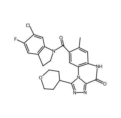 Cc1cc2[nH]c(=O)c3nnc(C4CCOCC4)n3c2cc1C(=O)N1CCc2cc(F)c(Cl)cc21